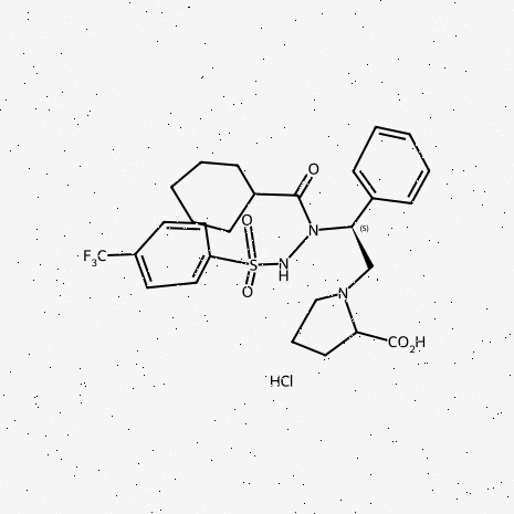 Cl.O=C(O)C1CCCN1C[C@H](c1ccccc1)N(NS(=O)(=O)c1ccc(C(F)(F)F)cc1)C(=O)C1CCCCC1